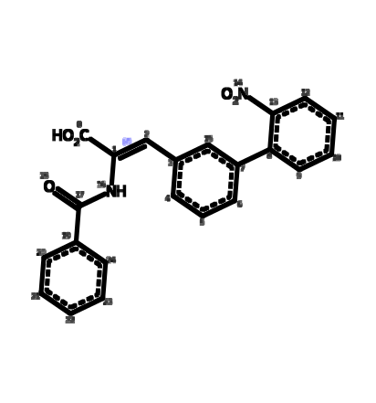 O=C(O)/C(=C/c1cccc(-c2ccccc2[N+](=O)[O-])c1)NC(=O)c1ccccc1